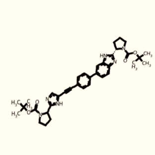 CC(C)(C)OC(=O)N1CCCC1c1ncc(C#Cc2ccc(-c3ccc4nc([C@@H]5CCCN5C(=O)OC(C)(C)C)[nH]c4c3)cc2)[nH]1